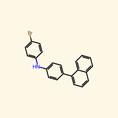 Brc1ccc(Nc2ccc(-c3cccc4ccccc34)cc2)cc1